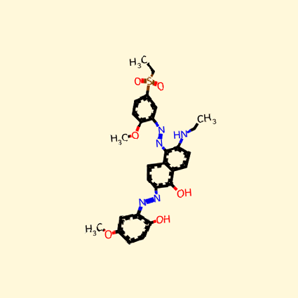 CCNc1ccc2c(O)c(/N=N/c3cc(OC)ccc3O)ccc2c1/N=N/c1cc(S(=O)(=O)CC)ccc1OC